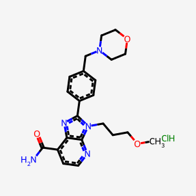 COCCCn1c(-c2ccc(CN3CCOCC3)cc2)nc2c(C(N)=O)ccnc21.Cl